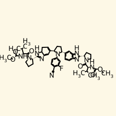 COC(=O)N[C@H](C(=O)N1CCC[C@H]1C1=NC2=CC([C@H]3CC[C@H](c4ccc5nc([C@@H]6CCCN6C(=O)[C@@H](NC(=O)OC)C(C)C)[nH]c5c4)N3c3ccc(C#N)c(F)c3)=CCC2N1)C(C)C